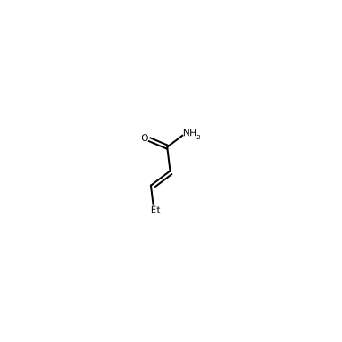 CCC=CC(N)=O